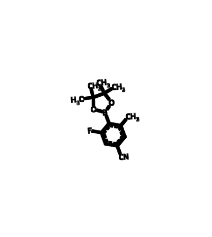 Cc1cc(C#N)cc(F)c1B1OC(C)(C)C(C)(C)O1